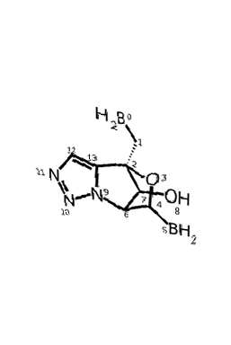 BC[C@]12OC(B)C(C1O)n1nncc12